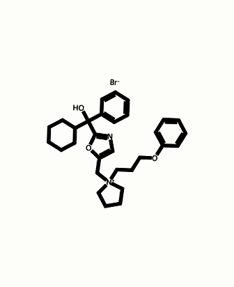 OC(c1ccccc1)(c1ncc(C[N+]2(CCCOc3ccccc3)CCCC2)o1)C1CCCCC1.[Br-]